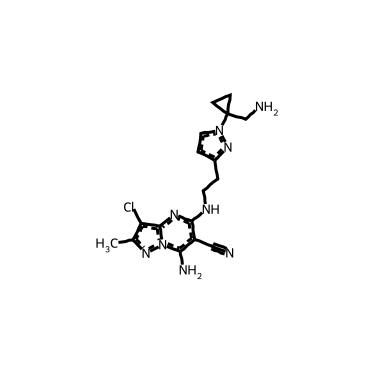 Cc1nn2c(N)c(C#N)c(NCCc3ccn(C4(CN)CC4)n3)nc2c1Cl